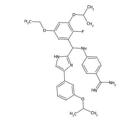 CCOc1cc(OC(C)C)c(F)c(C(Nc2ccc(C(=N)N)cc2)c2nc(-c3cccc(OC(C)C)c3)c[nH]2)c1